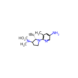 Cc1cc(N)cnc1N1CCC(N(C)C(=O)O)[C@@H]1C(C)(C)C